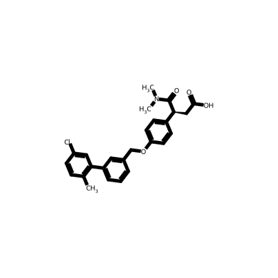 Cc1ccc(Cl)cc1-c1cccc(COc2ccc([C@H](CC(=O)O)C(=O)N(C)C)cc2)c1